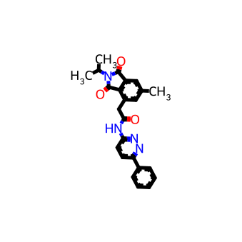 Cc1cc(CC(=O)Nc2ccc(-c3ccccc3)nn2)c2c(c1)C(=O)N(C(C)C)C2=O